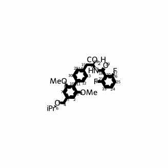 COc1cc(COC(C)C)cc(OC)c1-c1ccc(C[C@H](NC(=O)c2c(F)cccc2F)C(=O)O)cc1